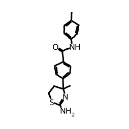 Cc1ccc(NC(=O)c2ccc(C3(C)CCSC(N)=N3)cc2)cc1